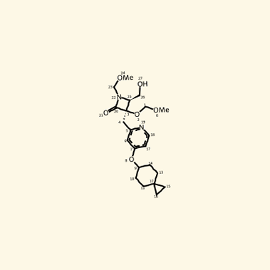 COCO[C@@]1(Cc2cc(OC3CCC4(CC3)CC4)ccn2)C(=O)N(COC)[C@H]1CO